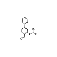 O=Cc1ccc(-c2ccccc2)cc1OC(F)Br